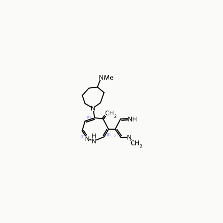 C=N/C=C(C=N)/C1=C/N/N=C\C=C(\N2CCCC(NC)CC2)C1=C